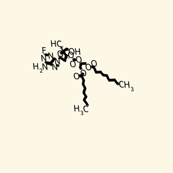 C#C[C@]1(CO)O[C@@H](n2cnc3c(N)nc(F)nc32)C[C@@H]1OC(=O)OC(COC(=O)CCCCCCCC)COC(=O)CCCCCCCC